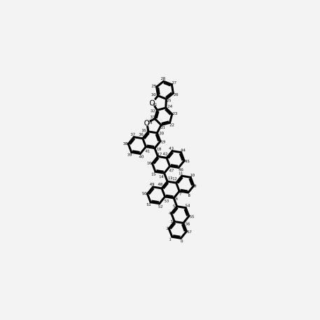 c1ccc2cc(-c3c4ccccc4c(-c4ccc(-c5cc6c7ccc8c9ccccc9oc8c7oc6c6ccccc56)c5ccccc45)c4ccccc34)ccc2c1